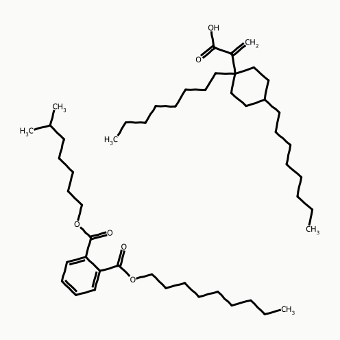 C=C(C(=O)O)C1(CCCCCCCC)CCC(CCCCCCCC)CC1.CCCCCCCCCOC(=O)c1ccccc1C(=O)OCCCCCC(C)C